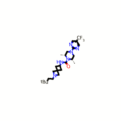 C[C@@H]1CN(c2ncc(C(F)(F)F)cn2)C[C@H](C)N1C(=O)NC1CC2(C1)CN(CCC(C)(C)C)C2